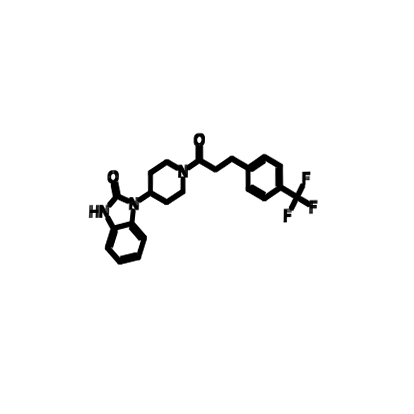 O=C(CCc1ccc(C(F)(F)F)cc1)N1CCC(n2c(=O)[nH]c3ccccc32)CC1